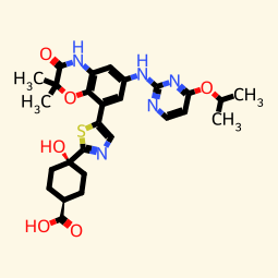 CC(C)Oc1ccnc(Nc2cc3c(c(-c4cnc([C@]5(O)CC[C@@H](C(=O)O)CC5)s4)c2)OC(C)(C)C(=O)N3)n1